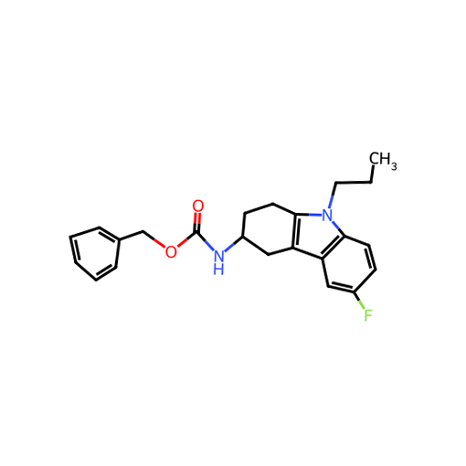 CCCn1c2c(c3cc(F)ccc31)CC(NC(=O)OCc1ccccc1)CC2